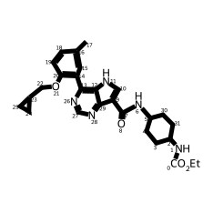 CCOC(=O)NC1CCC(NC(=O)c2c[nH]c3c(-c4cc(C)ccc4OCC4CC4)ncnc23)CC1